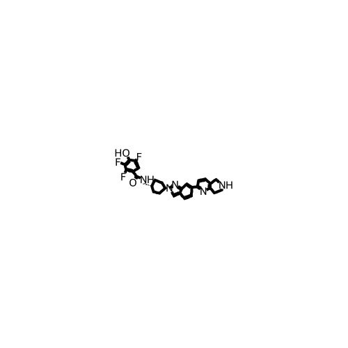 O=C(NC[C@H]1CC[C@H](n2cc3ccc(-c4ccc5c(n4)CCNC5)cc3n2)CC1)c1cc(F)c(O)c(F)c1F